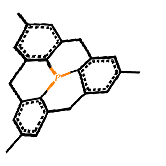 Cc1cc2c3c(c1)Cc1cc(C)cc4c1P3c1c(cc(C)cc1C4)C2